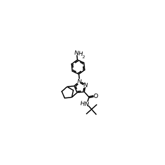 CC(C)(C)NC(=O)c1nn(-c2ccc(N)cc2)c2c1C1CCC2C1